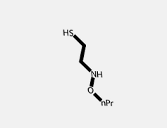 CCCONCCS